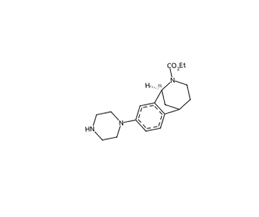 CCOC(=O)N1CCC2C[C@H]1c1cc(N3CCNCC3)ccc12